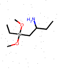 CCC(N)C[Si](CC)(OC)OC